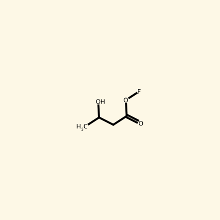 CC(O)CC(=O)OF